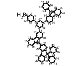 Bc1ccc(-c2cc(-c3ccc4c(c3)c3ccccc3n4-c3ccc4c(c3)-c3ccccc3C4(c3ccccc3)c3ccccc3)cc(-c3ccc4c5ccccc5n(-c5ccccc5)c4c3)c2)cc1